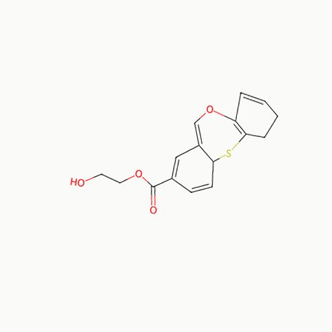 O=C(OCCO)C1=CC2=COC3=C(CCC=C3)SC2C=C1